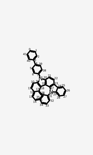 c1ccc(-c2ccc(-n3c4ccc5ccccc5c4c4c3ccc3c5ccccc5n(-c5ccccc5)c34)cc2)cc1